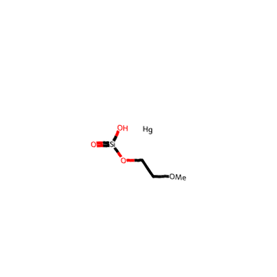 COCCO[Si](=O)O.[Hg]